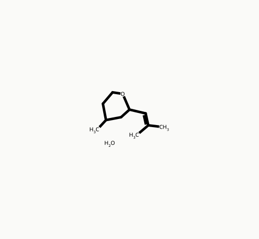 CC(C)=CC1CC(C)CCO1.O